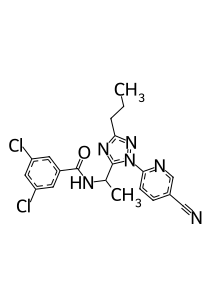 CCCc1nc(C(C)NC(=O)c2cc(Cl)cc(Cl)c2)n(-c2ccc(C#N)cn2)n1